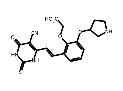 N#Cc1c(/C=C/c2cccc(OC3CCNC3)c2OCC(=O)O)[nH]c(=S)[nH]c1=O